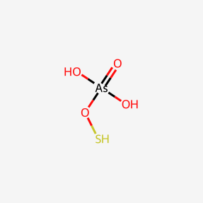 O=[As](O)(O)OS